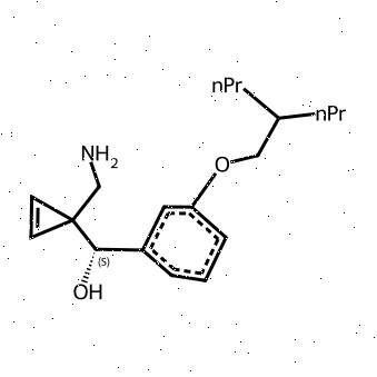 CCCC(CCC)COc1cccc([C@H](O)C2(CN)C=C2)c1